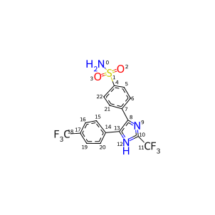 NS(=O)(=O)c1ccc(-c2nc(C(F)(F)F)[nH]c2-c2ccc(C(F)(F)F)cc2)cc1